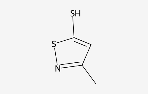 Cc1cc(S)sn1